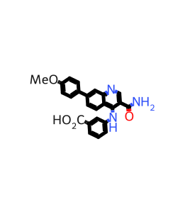 COc1ccc(-c2ccc3c(Nc4cccc(C(=O)O)c4)c(C(N)=O)cnc3c2)cc1